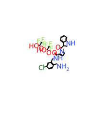 NCc1ccc(Cl)cc1CNC(=O)[C@@H]1CCN1C(=O)C1CNc2ccccc21.O=C(O)C(F)(F)F.O=C(O)C(F)(F)F